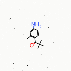 Cc1cc(N)ccc1C(=O)C(C)(C)C